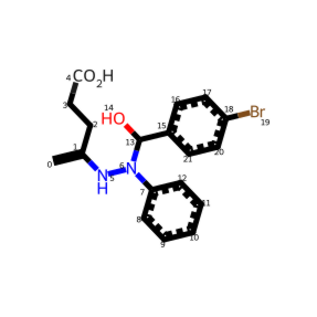 C=C(CCC(=O)O)NN(c1ccccc1)C(O)c1ccc(Br)cc1